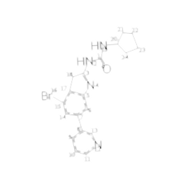 O=C(NC1=Nc2cc(-c3cccnc3)cc(Br)c2C1)NC1CCCC1